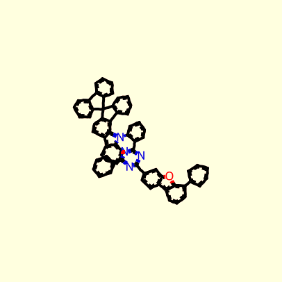 c1ccc(-c2nc(-c3ccc4c(c3)oc3c(-c5ccccc5)cccc34)nc(-c3ccccc3-n3c4ccccc4c4ccc5c(c43)-c3ccccc3C53c4ccccc4-c4ccccc43)n2)cc1